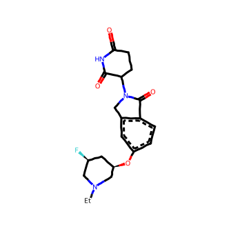 CCN1C[C@@H](F)C[C@@H](Oc2ccc3c(c2)CN(C2CCC(=O)NC2=O)C3=O)C1